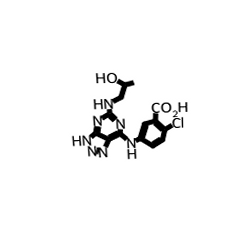 CC(O)CNc1nc(Nc2ccc(Cl)c(C(=O)O)c2)c2nn[nH]c2n1